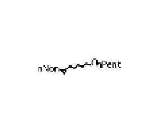 CCCCCCCCCC1CC1CCCCCCOCCCCC